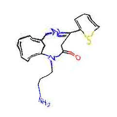 NCCn1c(=O)c(-c2cccs2)nc2ccccc21